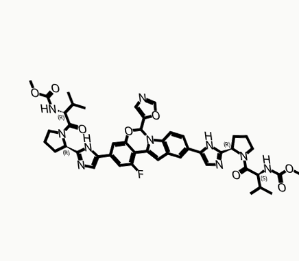 COC(=O)N[C@H](C(=O)N1CCC[C@@H]1c1ncc(-c2ccc3c(c2)cc2n3C(c3cnco3)Oc3cc(-c4cnc([C@H]5CCCN5C(=O)[C@H](NC(=O)OC)C(C)C)[nH]4)cc(F)c3-2)[nH]1)C(C)C